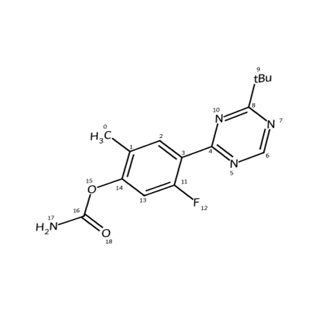 Cc1cc(-c2ncnc(C(C)(C)C)n2)c(F)cc1OC(N)=O